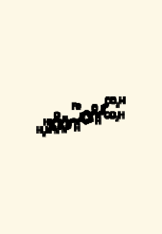 Nc1nc2ncc(CNc3ccc(C(=O)NC(CCC(=O)O)C(=O)O)cc3)nc2c(=O)[nH]1.[Fe]